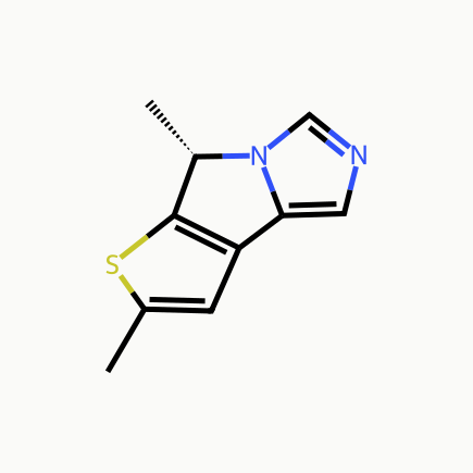 Cc1cc2c(s1)[C@H](C)n1cncc1-2